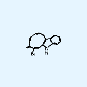 C=C1/C=C\C=C/Cc2c([nH]c3ccccc23)/C=C\1Br